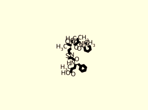 CC(C)[C@H](NC(=O)[C@H]1CCCCN1C)C(=O)N(C)[C@H](CCc1nc(C(=O)N[C@@H](Cc2ccccc2)C[C@H](C)C(=O)O)cs1)C(C)C